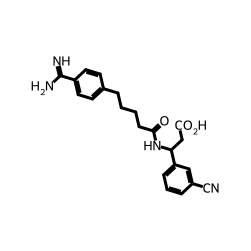 N#Cc1cccc(C(CC(=O)O)NC(=O)CCCCc2ccc(C(=N)N)cc2)c1